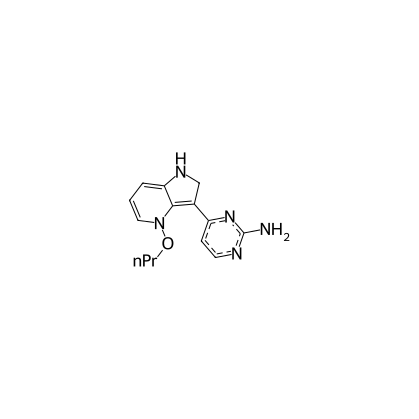 CCCON1C=CC=C2NCC(c3ccnc(N)n3)=C21